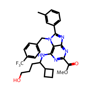 COC(=O)c1nc(NC(CCCO)C2CCC2)c2c(n1)nc(-c1cccc(C)c1)n2Cc1ccc(C(F)(F)F)cc1